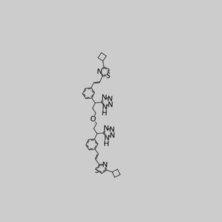 C(=Cc1nc(C2CCC2)cs1)c1cccc(C(CCOCCC(c2cccc(C=Cc3nc(C4CCC4)cs3)c2)c2nnn[nH]2)c2nnn[nH]2)c1